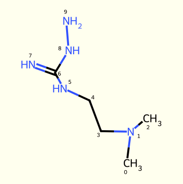 CN(C)CCNC(=N)NN